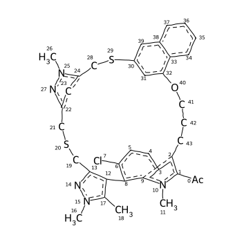 CC(=O)c1c2c3ccc(Cl)c(c3n1C)-c1c(nn(C)c1C)CSCc1cc(n(C)n1)CSc1cc(c3ccccc3c1)OCCC2